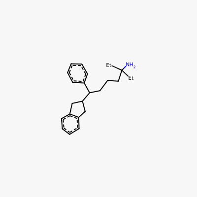 CCC(N)(CC)CCCC(c1ccccc1)C1Cc2ccccc2C1